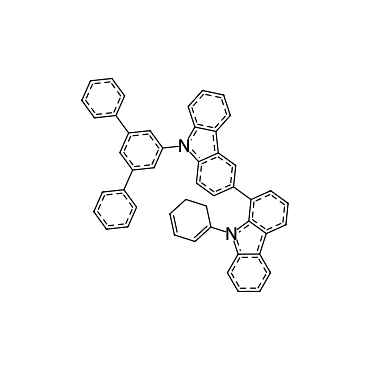 C1=CCCC(n2c3ccccc3c3cccc(-c4ccc5c(c4)c4ccccc4n5-c4cc(-c5ccccc5)cc(-c5ccccc5)c4)c32)=C1